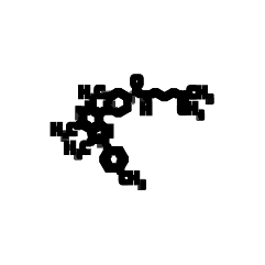 Cc1ccc(-n2nc3c(N4CC[C@@H](C(=O)NCCCN(C)C)C[C@H]4C)nnc(C)c3c2C)cc1